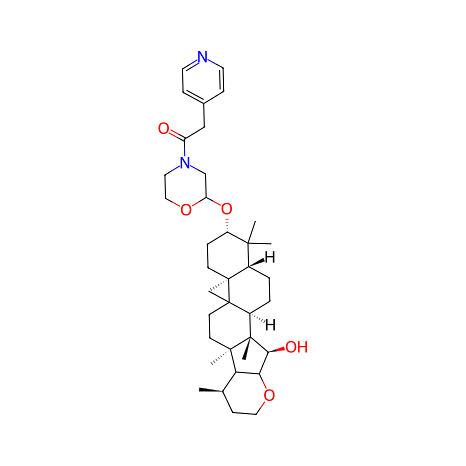 C[C@@H]1CCOC2C1[C@@]1(C)CCC34C[C@@]35CC[C@H](OC3CN(C(=O)Cc6ccncc6)CCO3)C(C)(C)[C@@H]5CC[C@H]4[C@]1(C)[C@H]2O